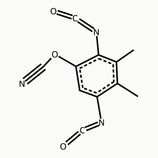 Cc1c(N=C=O)cc(OC#N)c(N=C=O)c1C